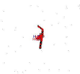 CCCCCCCC/C=C\CCCCCCC(C(=O)CCCCCCCCCCCCCCCCC)C(=O)C(CN)OP(=O)(O)OCC(O)CO